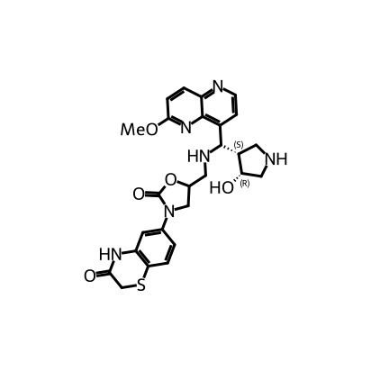 COc1ccc2nccc(C(NCC3CN(c4ccc5c(c4)NC(=O)CS5)C(=O)O3)[C@@H]3CNC[C@@H]3O)c2n1